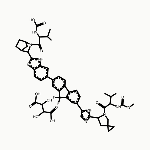 COC(=O)NC(C(=O)N1CC2(CC2)CC1c1ncc(-c2ccc3c(c2)C(F)(F)c2cc(-c4ccc5nc(C6C7CCC(C7)N6C(=O)C(NC(=O)O)C(C)C)[nH]c5c4)ccc2-3)[nH]1)C(C)C.O=C(O)C(O)C(O)C(=O)O